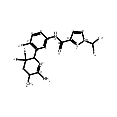 CC1CC(F)(F)C(c2cc(NC(=O)c3ccn(C(F)F)n3)ccc2F)N=C1N